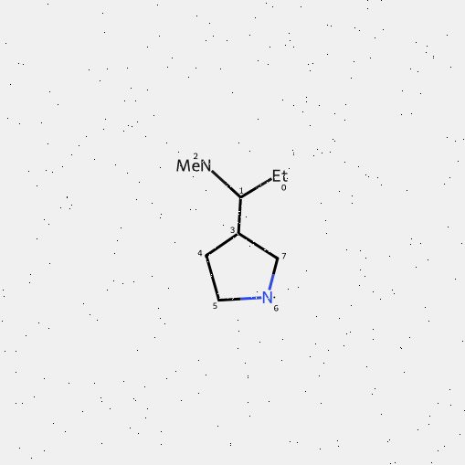 CCC(NC)C1CC[N]C1